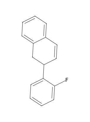 Fc1ccccc1C1C=Cc2ccccc2C1